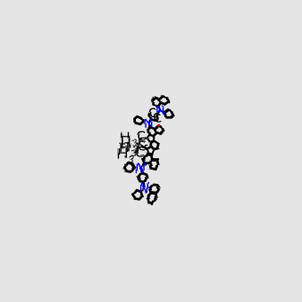 CC1(C)c2cc(N(c3ccccc3)c3ccc(N(c4ccccc4)c4cccc5ccccc45)cc3)c3ccccc3c2-c2ccc3c(c21)C(C)(C)c1cc(N(c2ccccc2)c2ccc(N(c4ccccc4)c4cccc5ccccc45)cc2)c2ccccc2c1-3